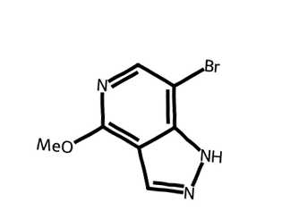 COc1ncc(Br)c2[nH]ncc12